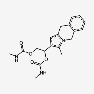 CNC(=O)OCC(OC(=O)NC)c1cc2n(c1C)Cc1ccccc1C2